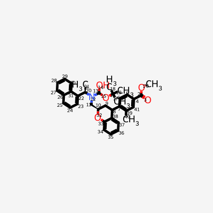 COC(=O)c1ccc(C2C[C@H](CN(C(O)OC(C)(C)C)[C@H](C)c3cccc4ccccc34)Oc3ccccc32)c(C)c1